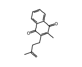 C=C(C)CCC1=C(C)C(=O)c2ccccc2C1=O